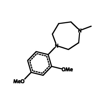 COc1ccc(N2CCCN(C)CC2)c(OC)c1